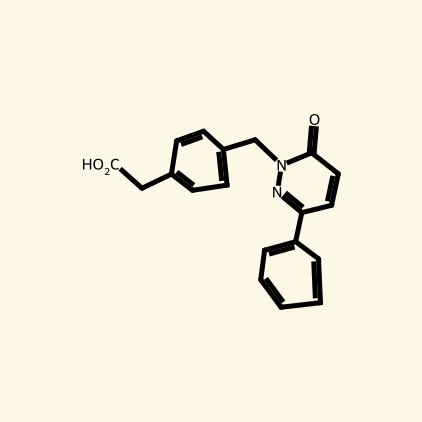 O=C(O)Cc1ccc(Cn2nc(-c3ccccc3)ccc2=O)cc1